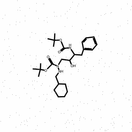 CC(C)(C)OC(=O)NC(Cc1ccccc1)C(O)CN(NCC1CCCCC1)C(=O)OC(C)(C)C